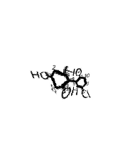 Oc1ccc(-c2cc(Cl)ccc2O)c(O)c1